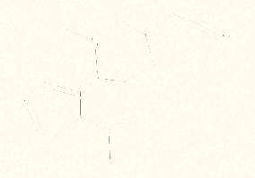 CC(C)c1ccccc1C1CCC(CC#N)CN1C